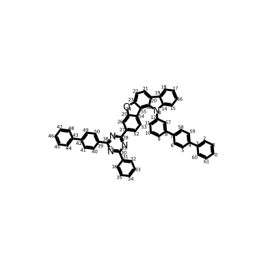 c1ccc(-c2ccc(-c3cccc(-n4c5ccccc5c5ccc6oc7cc(-c8nc(-c9ccccc9)nc(-c9ccc(-c%10ccccc%10)cc9)n8)ccc7c6c54)c3)cc2)cc1